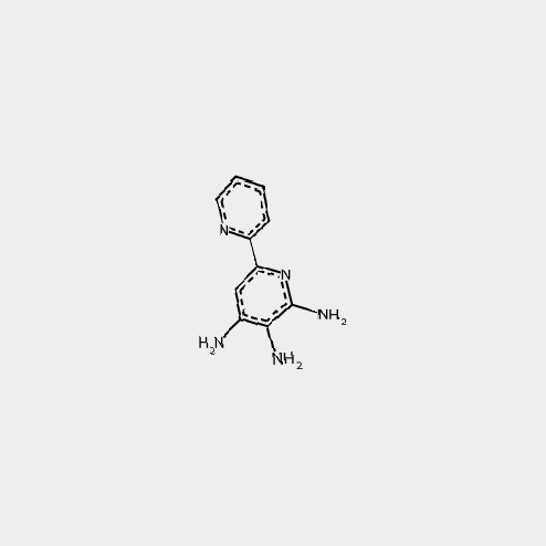 Nc1cc(-c2ccccn2)nc(N)c1N